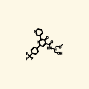 COC[C@H](CO)NC(=O)c1cc(-c2ccc(C(F)(F)F)cc2)nn(-c2cccnc2)c1=O